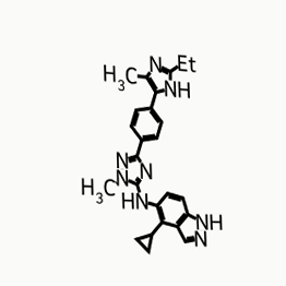 CCc1nc(C)c(-c2ccc(-c3nc(Nc4ccc5[nH]ncc5c4C4CC4)n(C)n3)cc2)[nH]1